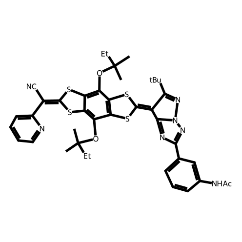 CCC(C)(C)Oc1c2c(c(OC(C)(C)CC)c3c1SC(=c1c(C(C)(C)C)nn4nc(-c5cccc(NC(C)=O)c5)nc14)S3)SC(=C(C#N)c1ccccn1)S2